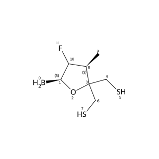 B[C@@H]1OC(CS)(CS)[C@H](C)C1F